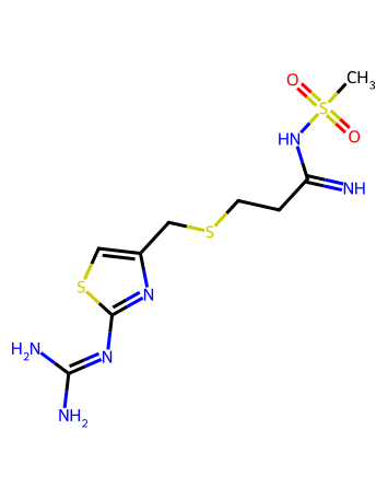 CS(=O)(=O)NC(=N)CCSCc1csc(N=C(N)N)n1